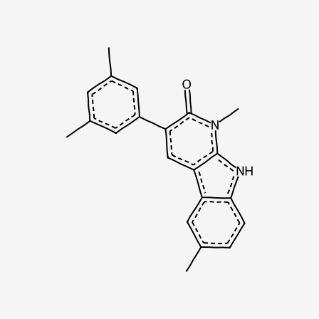 Cc1cc(C)cc(-c2cc3c4cc(C)ccc4[nH]c3n(C)c2=O)c1